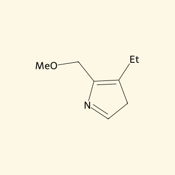 CCC1=C(COC)N=CC1